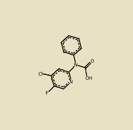 O=C(O)N(c1ccccc1)c1cc(Cl)c(F)cn1